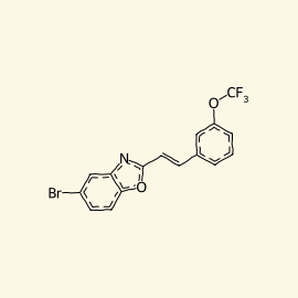 FC(F)(F)Oc1cccc(C=Cc2nc3cc(Br)ccc3o2)c1